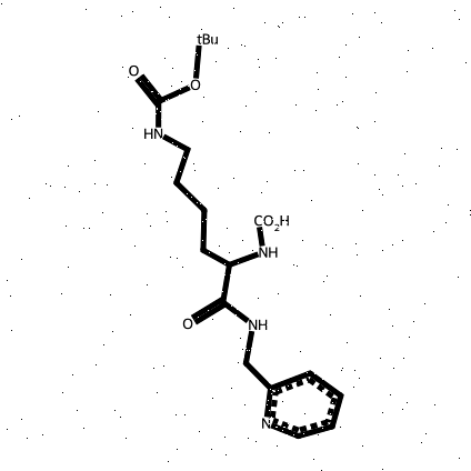 CC(C)(C)OC(=O)NCCCCC(NC(=O)O)C(=O)NCc1ccccn1